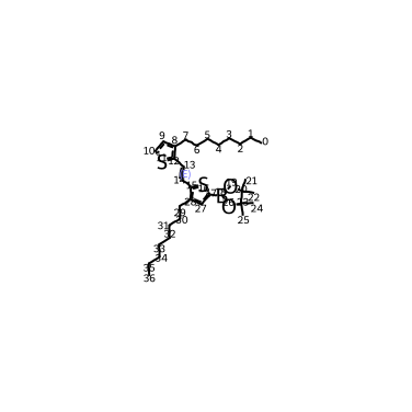 CCCCCCCCc1ccsc1/C=C/c1sc(B2OC(C)(C)C(C)(C)O2)cc1CCCCCCCC